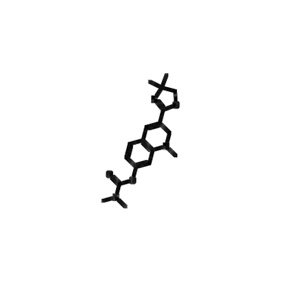 CN(C)C(=O)Oc1ccc2c(c1)N(C)CC(C1=NC(C)(C)CO1)=C2